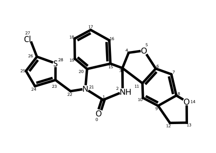 O=C1NC2(COc3cc4c(cc32)CCO4)c2ccccc2N1Cc1ccc(Cl)s1